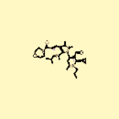 CCCNC(=C1CC1)/C(C=O)=C(\CCC)N1C(N(C)CC(C)C)=C(/C=C/C(=O)N2CCOCC2)C(C)N1C